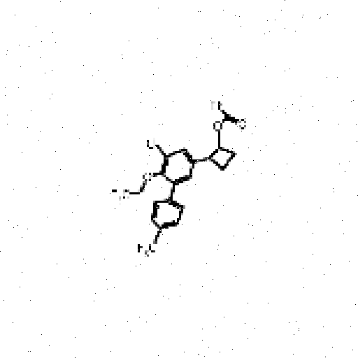 CCC(=O)OC1CCC1c1cc(Cl)c(OCC(F)(F)F)c(-c2ccc(C(F)(F)F)cc2)c1